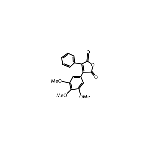 COc1cc(C2=C(c3ccccc3)C(=O)OC2=O)cc(OC)c1OC